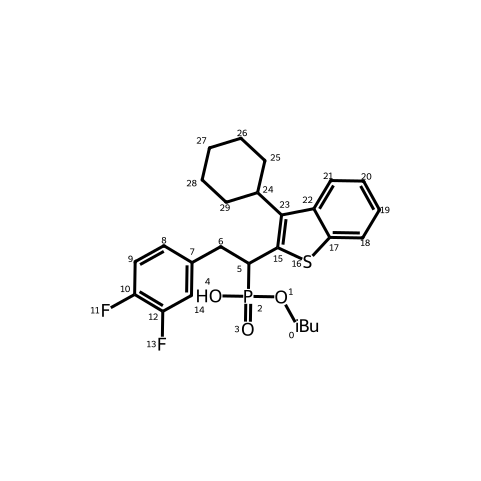 CCC(C)OP(=O)(O)C(Cc1ccc(F)c(F)c1)c1sc2ccccc2c1C1CCCCC1